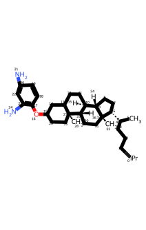 CC(C)CCCC(C)[C@H]1CC[C@H]2[C@@H]3CCC4CC(Oc5ccc(N)cc5N)CC[C@]4(C)[C@H]3CC[C@]12C